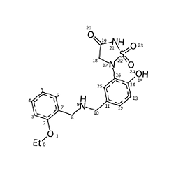 CCOc1ccccc1CNCc1ccc(O)c(N2CC(=O)NS2(=O)=O)c1